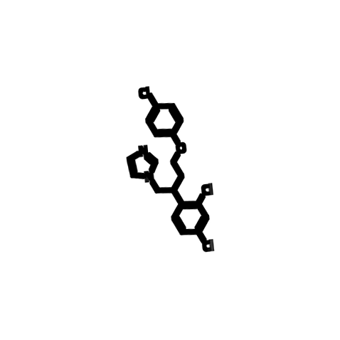 Clc1ccc(OCCC(Cn2ccnc2)c2ccc(Cl)cc2Cl)cc1